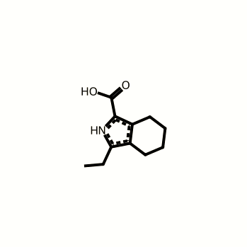 CCc1[nH]c(C(=O)O)c2c1CCCC2